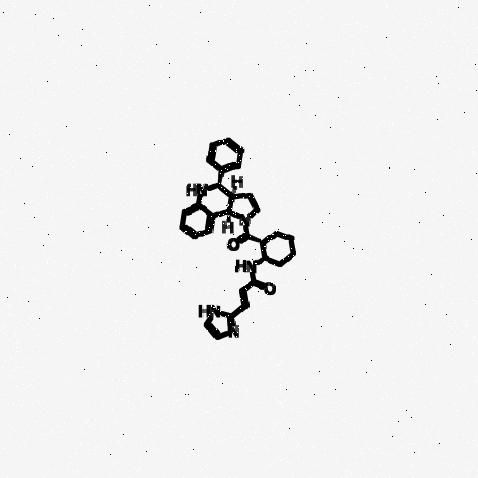 O=C(C=Cc1ncc[nH]1)N[C@@H]1CCCC[C@@H]1C(=O)N1CC[C@@H]2[C@H](c3ccccc3)Nc3ccccc3[C@@H]21